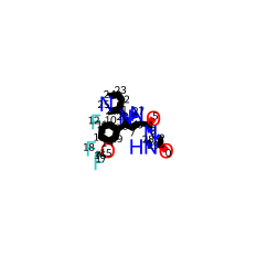 O=C1CN(C(=O)c2cc(-c3cc(F)cc(OC(F)F)c3)n(-c3cccnc3)n2)CN1